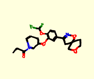 CCC(=O)N1CCCC(Oc2cc(C3=NOC4(CCOC4)C3)ccc2OC(F)F)C1